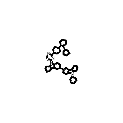 c1ccc(-c2ccccc2-c2ccc(-c3ncnc(-n4c5ccccc5c5cc(-c6ccc7c(c6)c6ccccc6n7-c6ccccc6)ccc54)n3)cc2)cc1